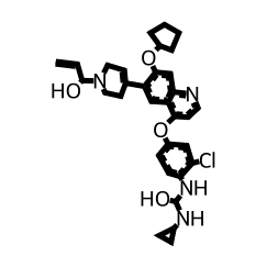 C=CC(O)N1CC=C(c2cc3c(Oc4ccc(NC(O)NC5CC5)c(Cl)c4)ccnc3cc2OC2CCCC2)CC1